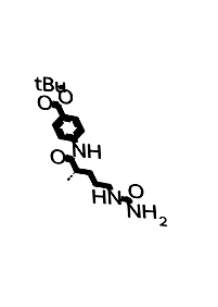 C[C@@H](CCCNC(N)=O)C(=O)Nc1ccc(C(=O)OC(C)(C)C)cc1